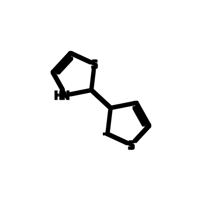 [CH]1SC=CC1C1NC=CS1